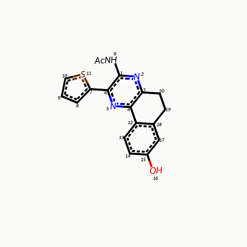 CC(=O)Nc1nc2c(nc1-c1cccs1)-c1ccc(O)cc1CC2